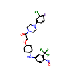 O=Nc1ccc(NC2CCC(OCC(=O)N3CCN(c4ccc(I)c(Cl)c4)CC3)CC2)cc1C(F)(F)F